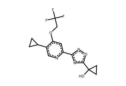 OC1(c2nc(-c3cc(OCC(F)(F)F)c(C4CC4)cn3)no2)CC1